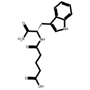 NC(=O)[C@H](Cc1c[nH]c2ccccc12)NC(=O)CCCC(=O)O